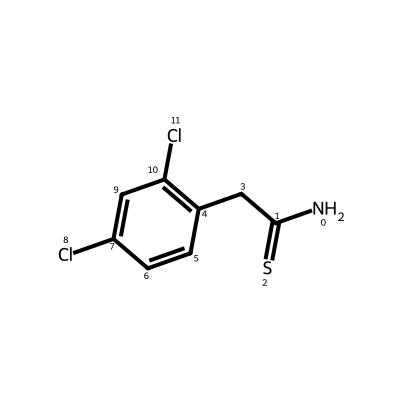 NC(=S)Cc1ccc(Cl)cc1Cl